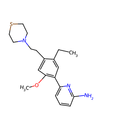 CCc1cc(-c2cccc(N)n2)c(OC)cc1CCN1CCSCC1